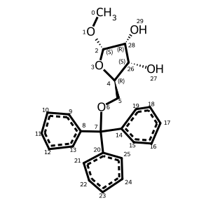 CO[C@H]1O[C@H](COC(c2ccccc2)(c2ccccc2)c2ccccc2)[C@@H](O)[C@H]1O